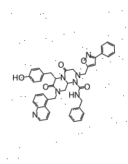 O=C1C(Cc2ccc(O)cc2)N2C(=O)CN(Cc3cc(-c4ccccc4)no3)N(C(=O)NCc3ccccc3)C2CN1Cc1cccc2ncccc12